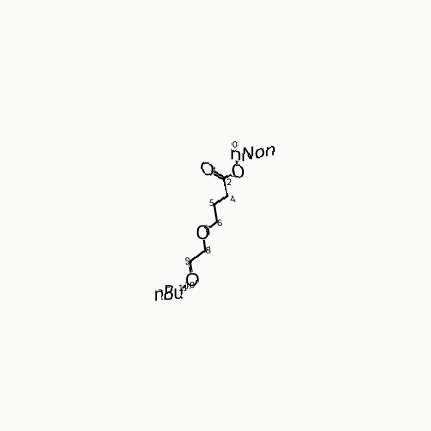 CCCCCCCCCOC(=O)CCCOCCOCCCC